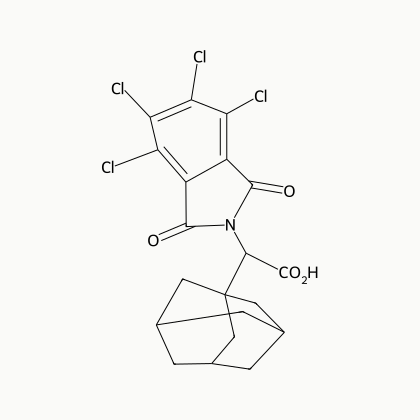 O=C(O)C(N1C(=O)c2c(Cl)c(Cl)c(Cl)c(Cl)c2C1=O)C12CC3CC(CC(C3)C1)C2